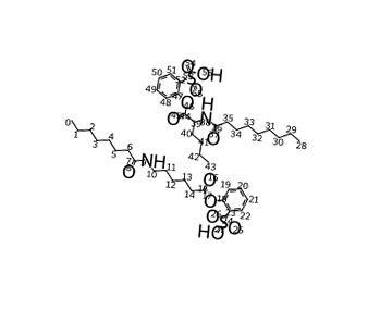 CCCCCCCC(=O)NCCCCCC(=O)Oc1ccccc1S(=O)(=O)O.CCCCCCCCC(=O)NC(CCCC)C(=O)Oc1ccccc1S(=O)(=O)O